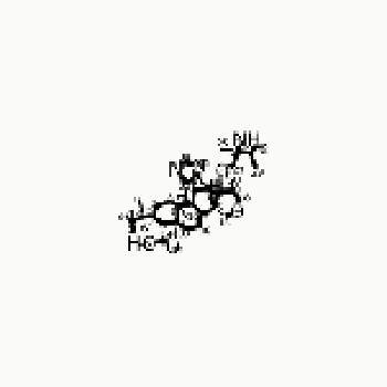 CC(C)[C@@H](C)[C@@]1(C)CC[C@]2(C)[C@H]3CC[C@@H]4[C@@]5(COC[C@@]4(C)[C@@H](OC[C@](C)(N)C(C)C)[C@H](n4cncn4)C5)C3=CC[C@@]2(C)[C@@H]1C(=O)O